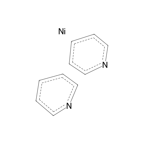 [Ni].c1ccncc1.c1ccncc1